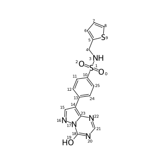 O=S(=O)(NCc1cccs1)c1ccc(-c2cnn3c(O)ncnc23)cc1